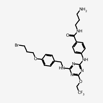 NCCCNC(=O)c1ccc(Nc2nc(NCc3ccc(OCCCBr)cc3)nc(OCC(F)(F)F)n2)cc1